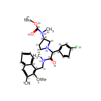 COc1c(C#N)cc2ccccc2c1CN(C)C(=O)C(c1ccc(F)cc1)N1CC[C@@H](N(C)C(=O)OC(C)(C)C)C1